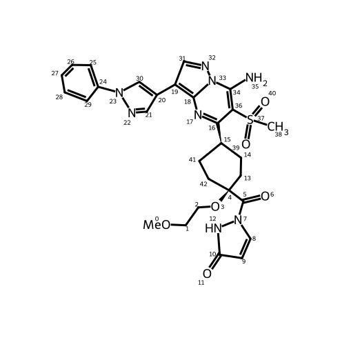 COCCO[C@]1(C(=O)n2ccc(=O)[nH]2)CC[C@H](c2nc3c(-c4cnn(-c5ccccc5)c4)cnn3c(N)c2S(C)(=O)=O)CC1